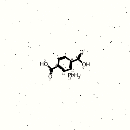 O=C(O)c1ccc(C(=O)O)cc1.[PbH2]